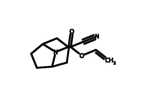 C=COC(=O)N1C2CCC1CC(C#N)C2